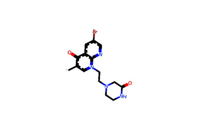 [CH2]c1cn(CCN2CCNC(=O)C2)c2ncc(Br)cc2c1=O